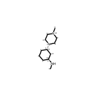 CN[C@H]1CCC[C@H](N2CCN(C)CC2)C1